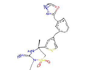 CN1C(=N)N[C@](C)(c2cc(-c3cccc(-c4nnco4)c3)cs2)CS1(=O)=O